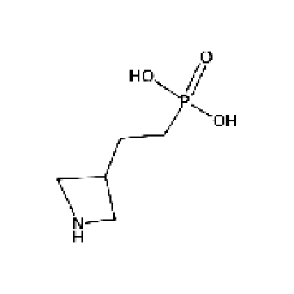 O=P(O)(O)CCC1CNC1